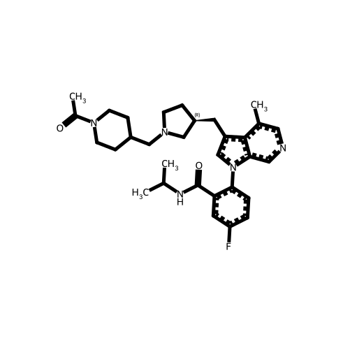 CC(=O)N1CCC(CN2CC[C@@H](Cc3cn(-c4ccc(F)cc4C(=O)NC(C)C)c4cncc(C)c34)C2)CC1